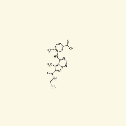 CCNC(=O)c1cn2ncnc(Nc3cc(C(=O)O)ccc3C)c2c1C